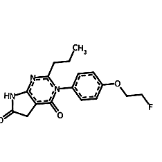 CCCc1nc2c(c(=O)n1-c1ccc(OCCF)cc1)CC(=O)N2